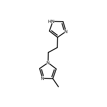 Cc1cn(CCc2c[nH]cn2)cn1